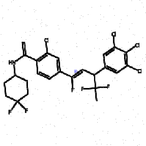 C=C(NC1CCC(F)(F)CC1)c1ccc(/C(F)=C/C(c2cc(Cl)c(Cl)c(Cl)c2)C(C)(F)F)cc1Cl